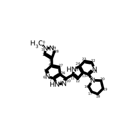 Cn1cc(-c2cnc3[nH]nc(-c4cc5c(N6CCCCC6)nccc5[nH]4)c3c2)cn1